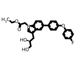 CCOC(=O)Cn1cc(C[C@H](O)CO)c2cc(-c3ccc(Oc4ccc(F)cc4)cc3)ccc21